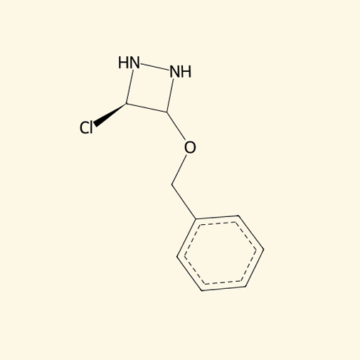 Cl[C@H]1NNC1OCc1ccccc1